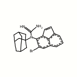 N=C(N)N(c1c(Br)cc2cccc3c2c1C=C3)C12CC3CC(CC(C3)C1)C2